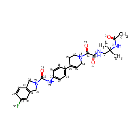 CC(=O)NC(C)(C)CNC(=O)C(=O)N1CC=C(c2ccc(NC(=O)N3Cc4ccc(F)cc4C3)cc2)CC1